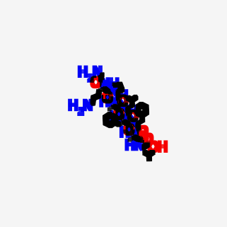 CC(C)C[C@H](NC(=O)[C@H](C)NC(=O)[C@H](Cc1ccccc1)NC(=O)[C@H](Cc1ccccc1)NC(=O)[C@H](CC(C)C)NC(=O)[C@H](C)NC(=O)[C@@H]1CCCN1C(=O)[C@H](CCCCN)NC(=O)CN)C(=O)O